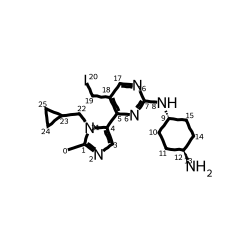 Cc1ncc(-c2nc(N[C@H]3CC[C@H](N)CC3)ncc2CI)n1CC1CC1